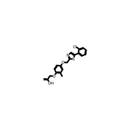 C=C(O)COc1ccc(OCc2ncc(-c3ccccc3Cl)s2)cc1C